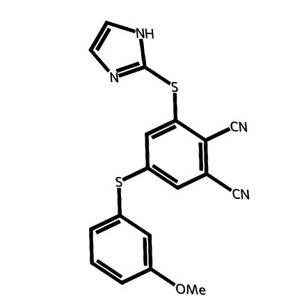 COc1cccc(Sc2cc(C#N)c(C#N)c(Sc3ncc[nH]3)c2)c1